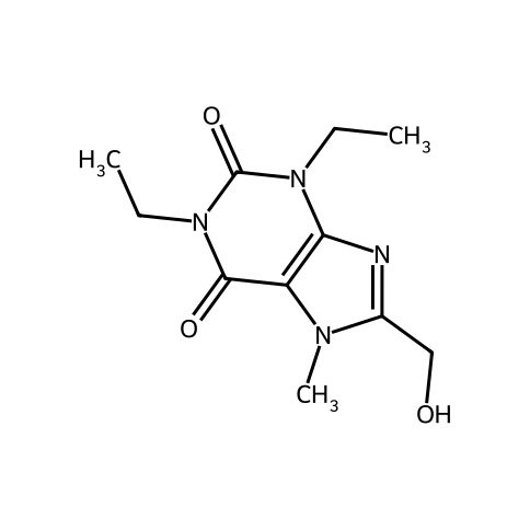 CCn1c(=O)c2c(nc(CO)n2C)n(CC)c1=O